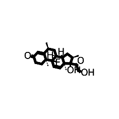 C[C@@H]1C[C@H]2[C@@H]3C[C@H](C)C4=CC(=O)CC[C@]4(C)[C@@]3(F)C=C[C@]2(C)[C@@]1(O)C(=O)CO